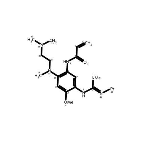 C=CC(=O)Nc1cc(N/C(=N/C(C)C)NC)c(OC)cc1N(C)CCN(C)C